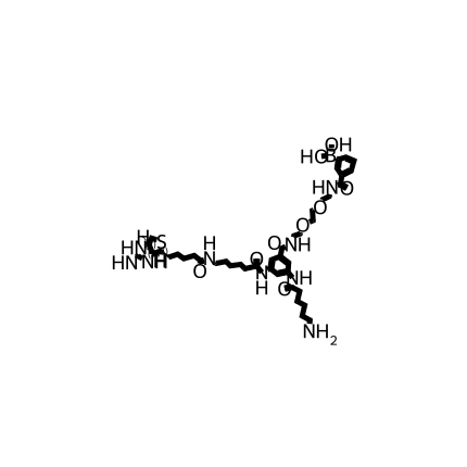 N=C1N[C@H]2[C@H](CS[C@H]2CCCCC(=O)NCCCCCC(=O)Nc2cc(NC(=O)CCCCCN)cc(C(=O)NCCOCCOCCNC(=O)c3cccc(B(O)O)c3)c2)N1